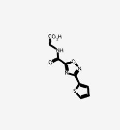 O=C(O)CNC(=O)c1nc(-c2cccs2)no1